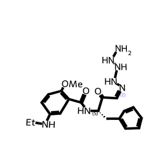 CCNc1ccc(OC)c(C(=O)N[C@@H](Cc2ccccc2)C(=O)/C=N\NNNN)c1